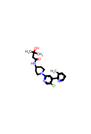 Cc1cccnc1-c1cc(N2CCC(NC(=O)CC(C)(C)O)CC2)ncc1Cl